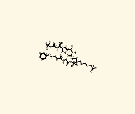 [CH2]C(=O)NCCOC[C@@]12C[C@@H]1N(C(=O)CNC(=O)CCCOc1ccccc1)[C@H](C(=O)N[C@H](C)c1cc(C(=N)NC(=O)OC(C)(C)C)cs1)C2